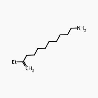 C=C(CC)CCCCCCCCCN